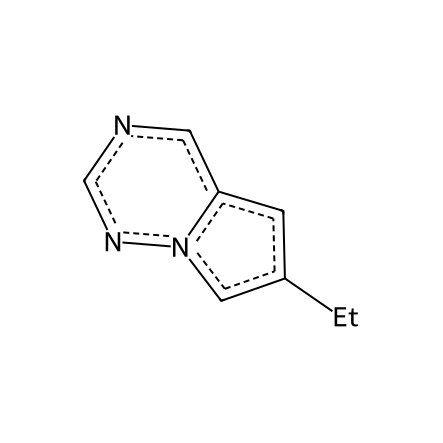 [CH2]Cc1cc2cncnn2c1